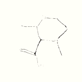 CC1[N]CCN(C)C1C(N)=O